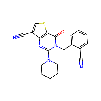 N#Cc1ccccc1Cn1c(N2CCCCC2)nc2c(C#N)csc2c1=O